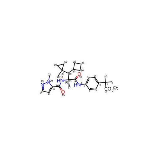 CCOC(=O)C(C)(C)c1ccc(NC(=O)[C@](C)(NC(=O)c2ccnn2C)C(C2CCC2)C2(C)CC2)cc1